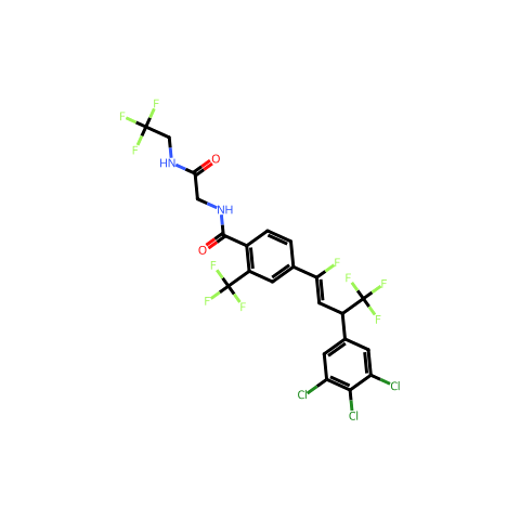 O=C(CNC(=O)c1ccc(C(F)=CC(c2cc(Cl)c(Cl)c(Cl)c2)C(F)(F)F)cc1C(F)(F)F)NCC(F)(F)F